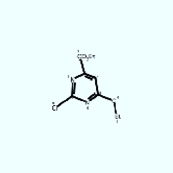 CCOC(=O)c1cc(OCC)nc(Cl)n1